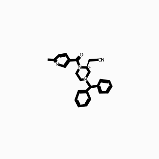 Cc1ccc(C(=O)N2CCN(C(c3ccccc3)c3ccccc3)C[C@@H]2CC#N)cn1